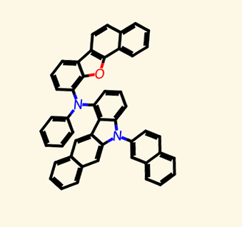 c1ccc(N(c2cccc3c2oc2c4ccccc4ccc32)c2cccc3c2c2cc4ccccc4cc2n3-c2ccc3ccccc3c2)cc1